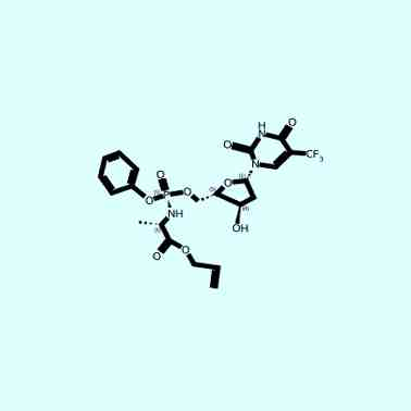 C=CCOC(=O)[C@H](C)N[P@](=O)(OC[C@@H]1O[C@H](n2cc(C(F)(F)F)c(=O)[nH]c2=O)C[C@H]1O)Oc1ccccc1